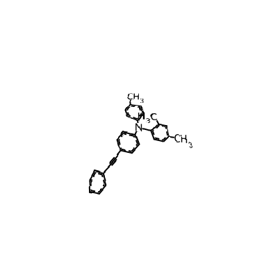 Cc1ccc(N(c2ccc(C#Cc3ccccc3)cc2)c2ccc(C)cc2C)cc1